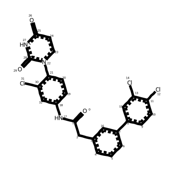 O=C(Cc1cccc(-c2ccc(Cl)c(Cl)c2)c1)Nc1ccc(-n2ccc(=O)[nH]c2=O)c(Cl)c1